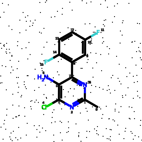 Cc1nc(Cl)c(N)c(-c2cc(F)ccc2F)n1